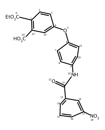 CCOC(=O)c1ccc(Oc2ccc(NC(=O)c3cccc([N+](=O)[O-])c3)cc2)cc1C(=O)O